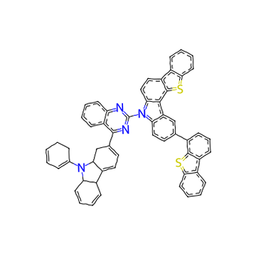 C1=CCCC(N2C3CC(c4nc(-n5c6ccc(-c7cccc8c7sc7ccccc78)cc6c6c7sc8ccccc8c7ccc65)nc5ccccc45)=CC=C3C3C=CC=CC32)=C1